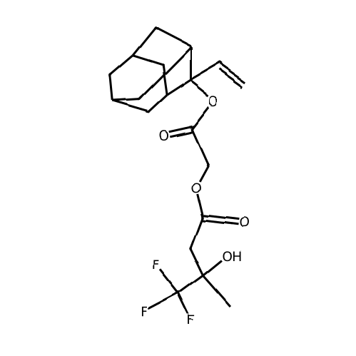 C=CC1(OC(=O)COC(=O)CC(C)(O)C(F)(F)F)C2CC3CC(C2)CC1C3